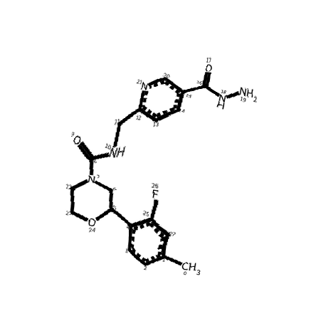 Cc1ccc(C2CN(C(=O)NCc3ccc(C(=O)NN)cn3)CCO2)c(F)c1